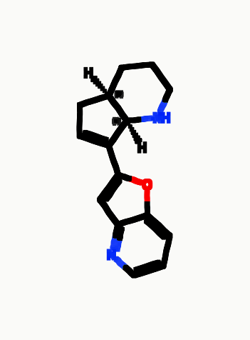 C1=C(c2cc3ncccc3o2)[C@@H]2NCCC[C@@H]2C1